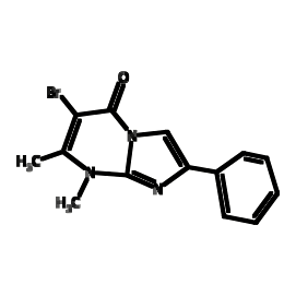 Cc1c(Br)c(=O)n2cc(-c3ccccc3)nc2n1C